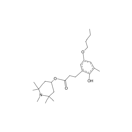 CCCCOc1cc(C)c(O)c(CCC(=O)OC2CC(C)(C)N(C)C(C)(C)C2)c1